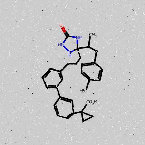 CC(Cc1ccc(C(C)(C)C)cc1)C1(CCCc2cccc(-c3cccc(C4(C(=O)O)CC4)c3)c2)NNC(=O)N1